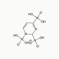 [O-][N+](O)(O)C1=NC([N+]([O-])(O)O)N([N+]([O-])(O)O)C=C1